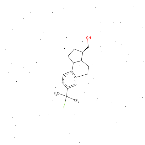 OC[C@@H]1CCC2c3ccc(C(F)(C(F)(F)F)C(F)(F)F)cc3CCC21